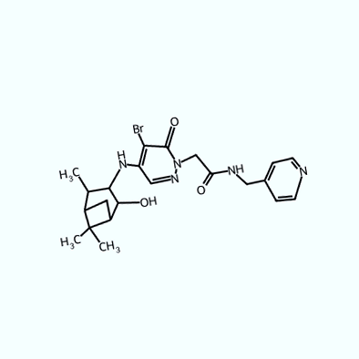 CC1C(Nc2cnn(CC(=O)NCc3ccncc3)c(=O)c2Br)C(O)C2CC1C2(C)C